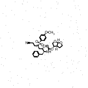 COc1ccc(S(=O)(=O)N(CCC#N)C[C@@H](O)[C@H](Cc2ccccc2)NC(=O)O[C@H]2CO[C@H]3OCC[C@H]32)cc1